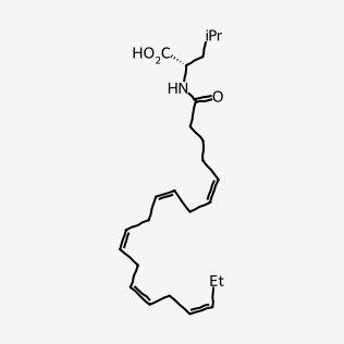 CC/C=C\C/C=C\C/C=C\C/C=C\C/C=C\CCCC(=O)N[C@@H](CC(C)C)C(=O)O